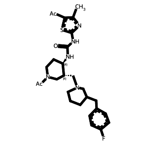 CC(=O)c1sc(NC(=O)N[C@@H]2CCN(C(C)=O)C[C@H]2CN2CCCC(Cc3ccc(F)cc3)C2)nc1C